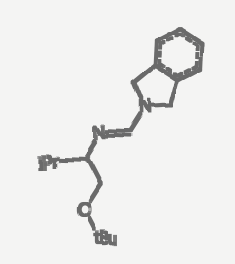 CC(C)C(COC(C)(C)C)N=CN1Cc2ccccc2C1